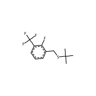 CC(C)(C)SCc1cccc(C(F)(F)F)c1F